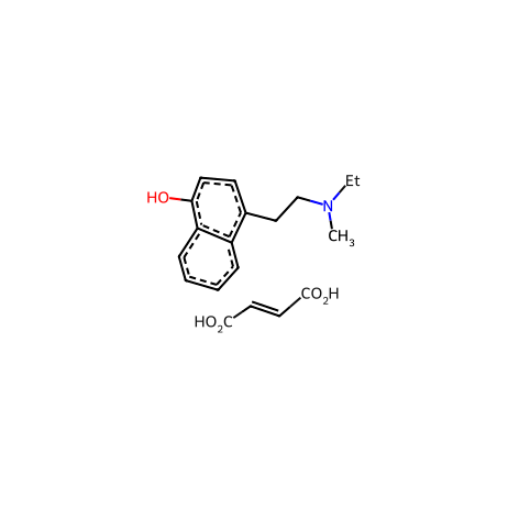 CCN(C)CCc1ccc(O)c2ccccc12.O=C(O)/C=C/C(=O)O